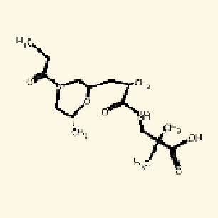 CCC(=O)N1CC(CC(C)C(=O)NCC(C)(C)C(=O)O)O[C@H](C)C1